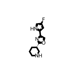 Fc1c[nH]c(-c2coc([C@H]3CCCNC3)n2)c1